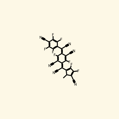 CC1C(C#N)=C(F)C(F)=C1/C(C#N)=c1\c(F)c(C#N)/c(=C(\C#N)c2c(F)c(F)c(C#N)c(F)c2F)c(F)c1C#N